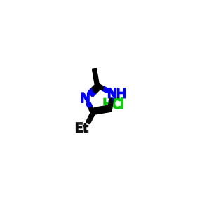 CCc1c[nH]c(C)n1.Cl